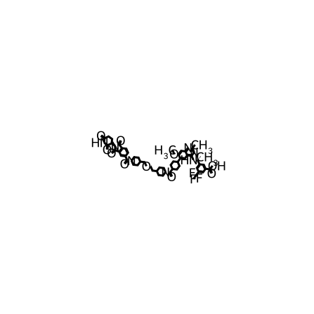 COc1cc2nc(C)nc(N[C@H](C)c3cc(C(=O)O)cc(C(F)(F)F)c3)c2cc1C1CCC(C(=O)N2CCC(CCOCC3CCN(C(=O)c4ccc5c(c4)C(=O)N(C4CCC(=O)NC4=O)C5=O)CC3)CC2)CC1